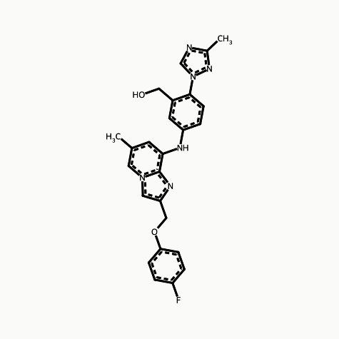 Cc1cc(Nc2ccc(-n3cnc(C)n3)c(CO)c2)c2nc(COc3ccc(F)cc3)cn2c1